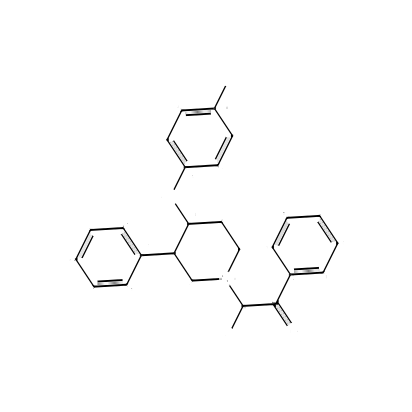 CC(C(=O)c1ccccc1)N1CCC(Oc2ccc(F)cc2)C(c2ccccc2)C1